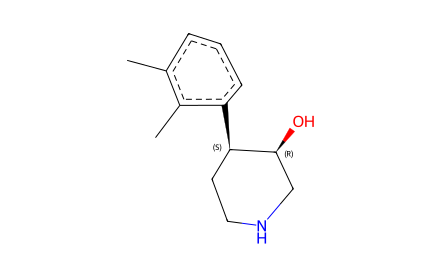 Cc1cccc([C@@H]2CCNC[C@@H]2O)c1C